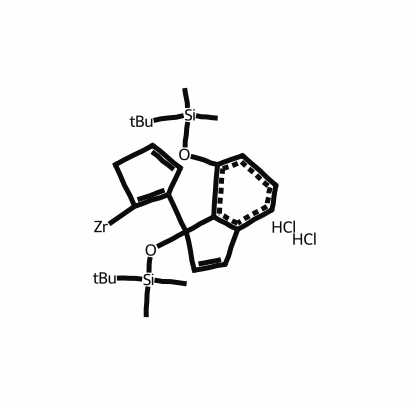 CC(C)(C)[Si](C)(C)Oc1cccc2c1C(O[Si](C)(C)C(C)(C)C)(C1=[C]([Zr])CC=C1)C=C2.Cl.Cl